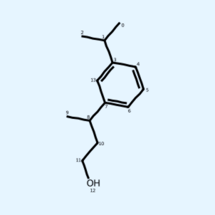 CC(C)c1cccc(C(C)CCO)c1